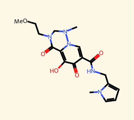 COCCN1CN(C)n2cc(C(=O)NCc3cccn3C)c(=O)c(O)c2C1=O